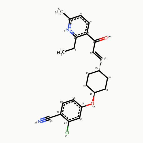 CCc1nc(C)ccc1C(=O)/C=C/[C@H]1CC[C@H](Oc2ccc(C#N)c(Cl)c2)CC1